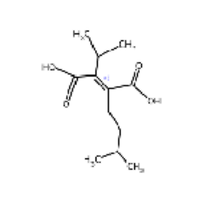 CC(C)CC/C(C(=O)O)=C(\C(=O)O)C(C)C